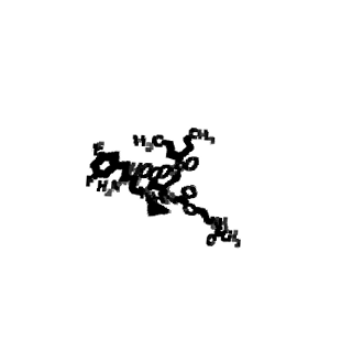 CCCC(CCC)S(=O)(=O)C[C@@H](NC(=O)OCCNC(C)=O)C(=O)N(C[C@@H](O)[C@@H](N)Cc1cc(F)cc(F)c1)C1CC1